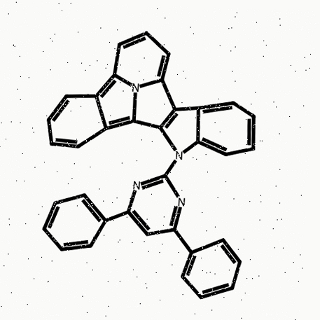 c1ccc(-c2cc(-c3ccccc3)nc(-n3c4ccccc4c4c3c3c5ccccc5c5cccc4n53)n2)cc1